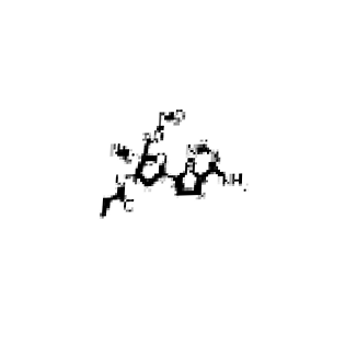 CCC(=O)O[C@H]1C[C@H](c2ccc3c(N)ncnn23)O[C@]1(C#N)COP=O